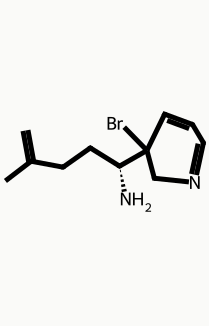 C=C(C)CC[C@@H](N)C1(Br)C=CC=NC1